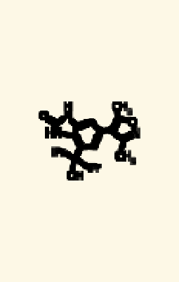 Cc1noc(C)c1-c1cc(C(O)(C(C)C)C(C)C)c2[nH]c(=O)[nH]c2c1